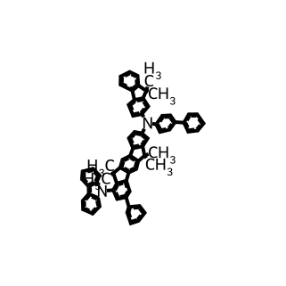 CC1(C)c2ccccc2-c2ccc(N(c3ccc(-c4ccccc4)cc3)c3ccc4c(c3)C(C)(C)c3cc5c(cc3-4)C(C)(C)c3c-5cc(-c4ccccc4)cc3-n3c4ccccc4c4ccccc43)cc21